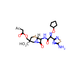 CC(=O)CC(=O)OCC1(C(=O)O)CS[C@@H]2C(NC(=O)C(=NOC3CCCC3)c3nsc(N)n3)C(=O)N2C1